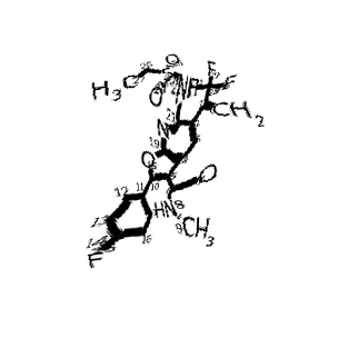 C=C(c1cc2c(C(=O)NC)c(-c3ccc(F)cc3)oc2nc1NS(=O)(=O)CC)C(F)(F)F